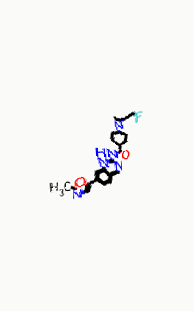 Cc1ncc(-c2ccc3cnc(NC(=O)C4CCC(N5CC5CF)CC4)nc3c2)o1